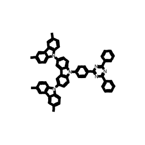 Cc1ccc2c(c1)c1cc(C)ccc1n2-c1ccc2c(c1)c1cc(-n3c4ccc(C)cc4c4cc(C)ccc43)ccc1n2-c1ccc(-c2nc(-c3ccccc3)nc(-c3ccccc3)n2)cc1